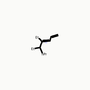 C=C/C=C(\CC)C(CC)CCC